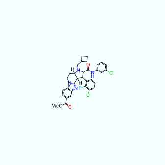 COC(=O)c1ccc2c(c1)nc1n2CC[C@H]2[C@@H]1[C@H](c1cccc(Cl)c1F)[C@H](C(=O)Nc1cccc(Cl)c1)N2CC1CCC1